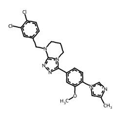 COc1cc(-c2nnc3n2CCCN3Cc2ccc(Cl)c(Cl)c2)ccc1-n1cnc(C)c1